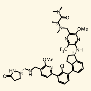 COc1nc(-c2cccc(-c3cccc4c3CC[C@@H]4Nc3nc(OC)c(CN(C)[C@@H](C)C(=O)N(C)C)nc3C(F)(F)F)c2Cl)ccc1CNC[C@@H]1CCC(=O)N1